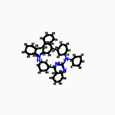 c1ccc(-c2nc(N(c3ccccc3)c3cccc(-c4cc5[nH]c6ccccc6c5c5ccccc45)c3)nc3ccccc23)cc1